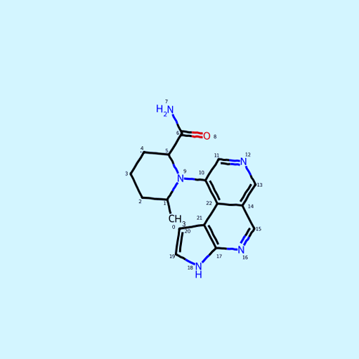 CC1CC[CH]C(C(N)=O)N1c1cncc2cnc3[nH]ccc3c12